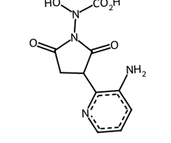 Nc1cccnc1C1CC(=O)N(N(O)C(=O)O)C1=O